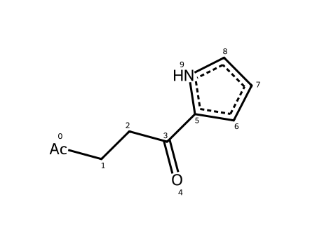 CC(=O)CCC(=O)c1ccc[nH]1